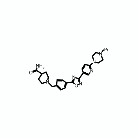 CC(C)N1CCN(c2ccc(-c3noc(-c4ccc(CN5CCC(C(N)=O)CC5)cc4)n3)cn2)CC1